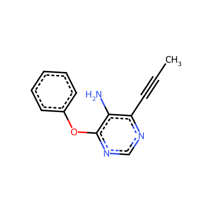 CC#Cc1ncnc(Oc2ccccc2)c1N